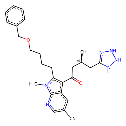 C[C@H](CC(=O)c1c(CCCCOCc2ccccc2)n(C)c2ncc(C#N)cc12)CC1=NNNN1